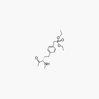 CCOP(=O)(Cc1ccc(CC[C@H](NC)C(C)=O)cc1)OCC